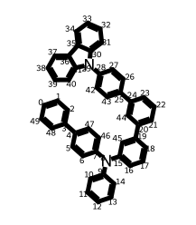 c1ccc(-c2ccc(N(c3ccccc3)c3cccc(-c4cccc(-c5ccc(-n6c7ccccc7c7ccccc76)cc5)c4)c3)cc2)cc1